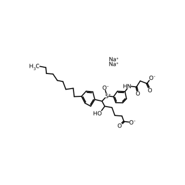 CCCCCCCCCc1ccc(C(C(O)CCCC(=O)[O-])[S+]([O-])c2cccc(NC(=O)CC(=O)[O-])c2)cc1.[Na+].[Na+]